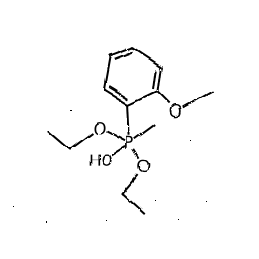 CCOP(C)(O)(OCC)c1ccccc1OC